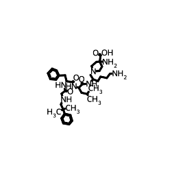 CC(C)CC(NC(=O)C(Cc1ccccc1)NC(=O)CNCC(C)(C)c1ccccc1)C(=O)NC(CCCCN)CN1CCC(N)(C(=O)O)CC1